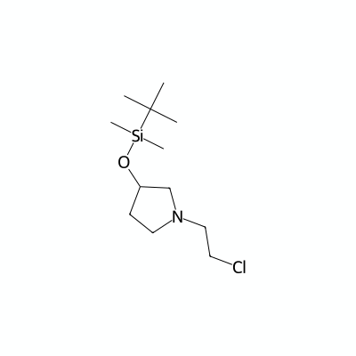 CC(C)(C)[Si](C)(C)OC1CCN(CCCl)C1